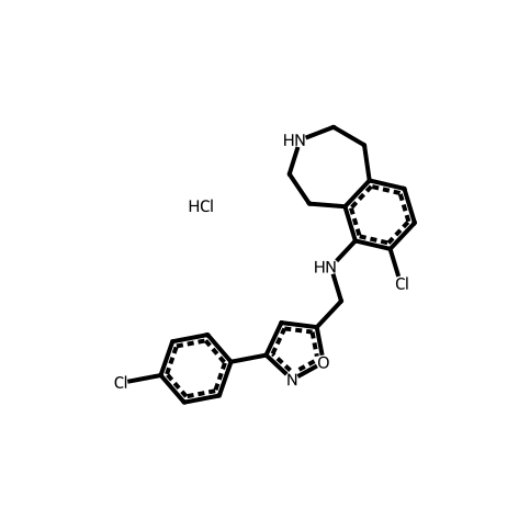 Cl.Clc1ccc(-c2cc(CNc3c(Cl)ccc4c3CCNCC4)on2)cc1